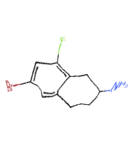 NC1CCc2cc(Br)cc(F)c2C1